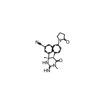 CN1C(=N)N[C@](C)(c2cccc(C#N)c2)[C@@H](c2ccc(N3CCCC3=O)cc2)C1=O